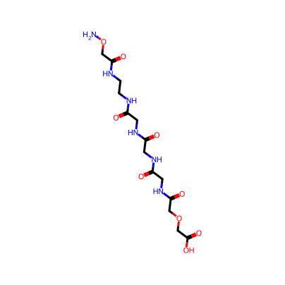 NOCC(=O)NCCNC(=O)CNC(=O)CNC(=O)CNC(=O)COCC(=O)O